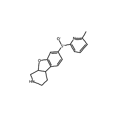 Cc1cccc([S+]([O-])c2ccc3c(c2)OC2CNCCC32)n1